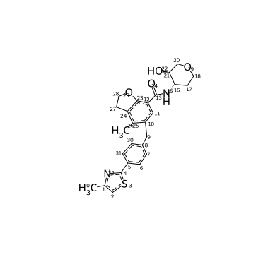 Cc1csc(-c2ccc(Cc3cc(C(=O)N[C@H]4CCOC[C@@H]4O)c4c(c3C)CCO4)cc2)n1